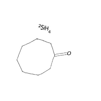 O=C1CCCCCCC1.[2SiH4]